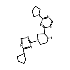 c1nc(C2CN(c3ncnc(N4CCCC4)n3)CCN2)nc(N2CCCC2)n1